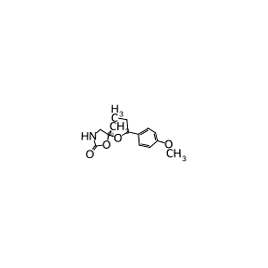 CCC(O[C@@]1(C)CNC(=O)O1)c1ccc(OC)cc1